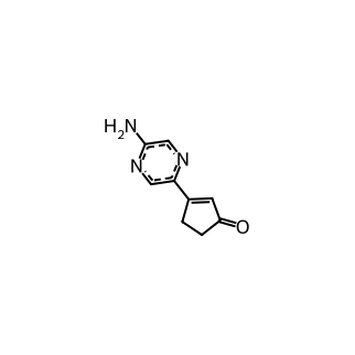 Nc1cnc(C2=CC(=O)CC2)cn1